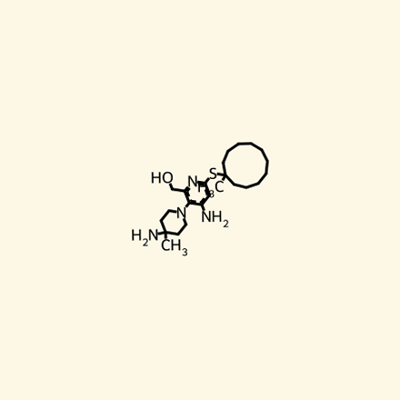 CC1(N)CCN(c2c(N)cc(SC3(C)CCCCCCCCCC3)nc2CO)CC1